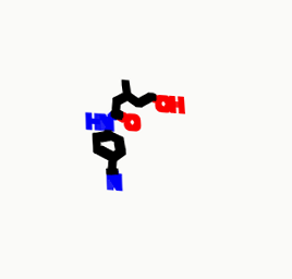 CC(CCO)CC(=O)Nc1ccc(C#N)cc1